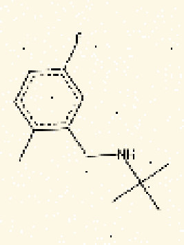 Cc1ccc(F)cc1CNC(C)(C)C